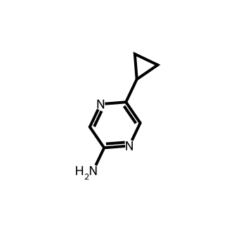 Nc1cnc(C2CC2)cn1